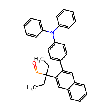 CCC(CC)(P=O)c1cc2ccccc2cc1-c1ccc(N(c2ccccc2)c2ccccc2)cc1